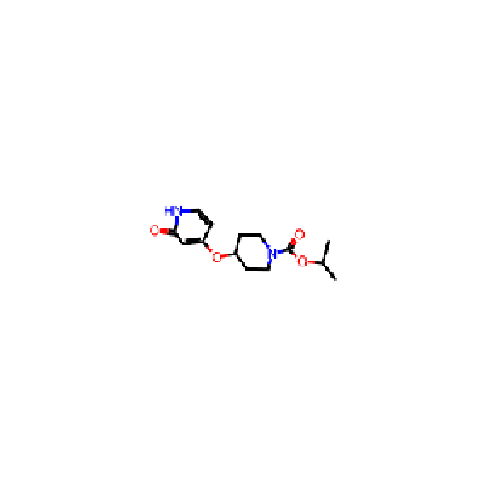 CC(C)OC(=O)N1CCC(Oc2cc[nH]c(=O)c2)CC1